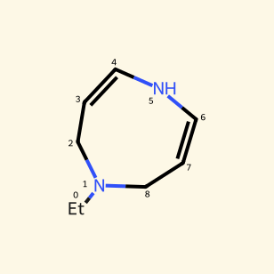 CCN1CC=CN/C=C\C1